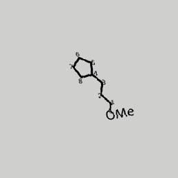 COCCCC1CCCC1